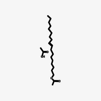 CC(=O)O.CCCCCCCCC=CCCCCCCCCOC(C)=O